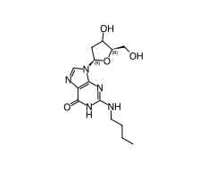 CCCCNc1nc2c(ncn2[C@H]2CC(O)[C@@H](CO)O2)c(=O)[nH]1